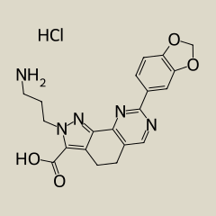 Cl.NCCCn1nc2c(c1C(=O)O)CCc1cnc(-c3ccc4c(c3)OCO4)nc1-2